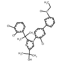 CC[S+]([O-])c1cccc(-c2ccc(-n3cc(C(C)(C)O)nc3C(C)(C)c3cccc(Cl)c3Cl)c(Cl)c2)c1